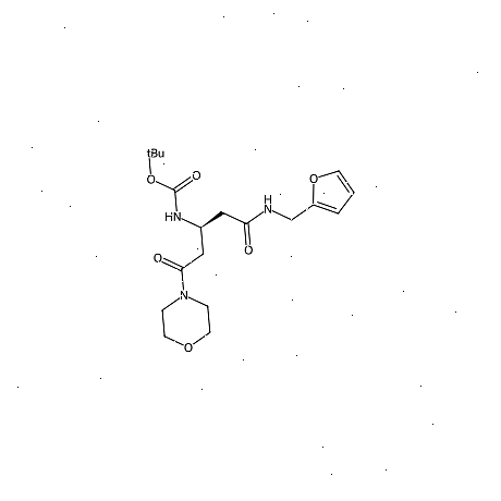 CC(C)(C)OC(=O)N[C@@H](CC(=O)NCc1ccco1)CC(=O)N1CCOCC1